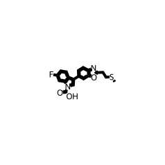 CSCCc1nc2ccc(-c3cn(C(=O)O)c4cc(F)ccc34)cc2o1